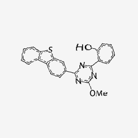 COc1nc(-c2ccc3c(c2)sc2ccccc23)nc(-c2ccccc2O)n1